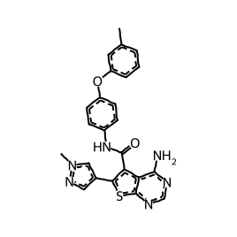 Cc1cccc(Oc2ccc(NC(=O)c3c(-c4cnn(C)c4)sc4ncnc(N)c34)cc2)c1